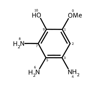 COc1cc(N)c(N)c(N)c1O